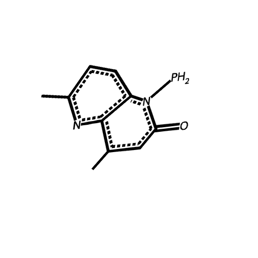 Cc1ccc2c(n1)c(C)cc(=O)n2P